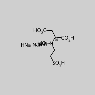 O=C(O)C[C@@H](C(=O)O)N(O)CCS(=O)(=O)O.[NaH].[NaH].[NaH]